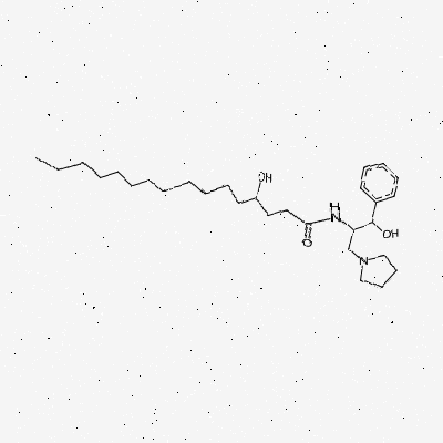 CCCCCCCCCCCCC(O)CCC(=O)NC(CN1CCCC1)C(O)c1ccccc1